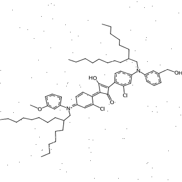 CCCCCCCCC(CCCCCC)CN(c1cccc(CO)c1)c1ccc(C2=C(O)/C(=C3C=C/C(=[N+](/CC(CCCCCC)CCCCCCCC)c4cccc(OC)c4)C=C\3Cl)C2=O)c(Cl)c1